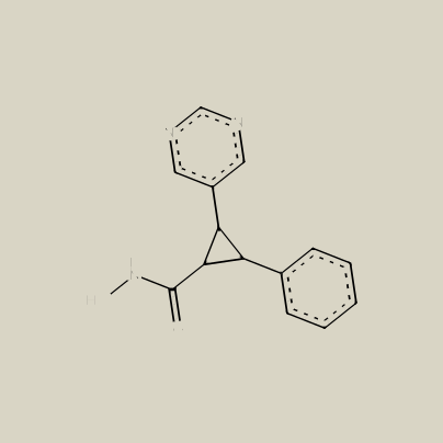 O=C(NO)C1C(c2ccccc2)C1c1cncnc1